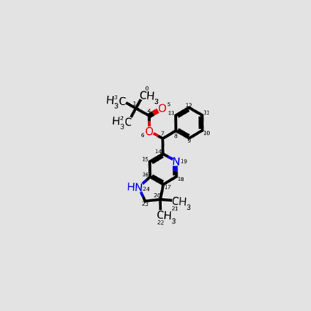 CC(C)(C)C(=O)OC(c1ccccc1)c1cc2c(cn1)C(C)(C)CN2